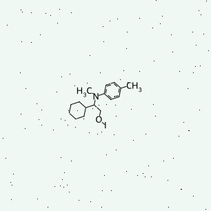 Cc1ccc(N(C)C(COI)C2CCCCC2)cc1